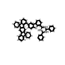 c1ccc(C2NC(c3ccccc3)NC(c3cccc4c3oc3ccc(-c5cccc6c5-c5cc7c(cc5C65CCCCC5)-c5ccccc5C75CCCCC5)cc34)N2)cc1